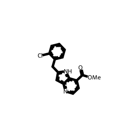 COC(=O)c1ccnc2cc(Cc3ccccc3Cl)[nH]c12